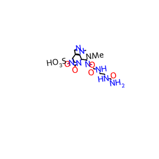 CN/C(=N\OC(=O)NCCNC(N)=O)C1c2c(cnn2C)C2CN1C(=O)N2OS(=O)(=O)O